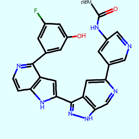 CCCCC(=O)Nc1cncc(-c2cc3c(-c4cc5c(-c6cc(O)cc(F)c6)nccc5[nH]4)n[nH]c3cn2)c1